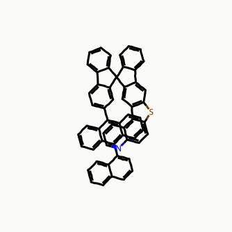 c1ccc2c(c1)-c1ccc(-c3c4ccccc4c(-c4cccc5ccccc45)c4ccccc34)cc1C21c2ccccc2-c2cc3sc4ccc5ncccc5c4c3cc21